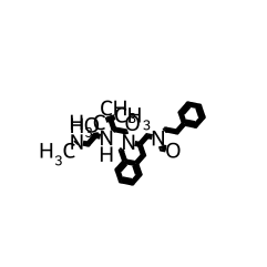 CNCC(=O)NC(C(=O)N1Cc2ccccc2CC1CN(C=O)CCc1ccccc1)C(C)(C)C